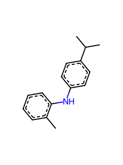 Cc1ccccc1Nc1ccc(C(C)C)cc1